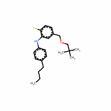 CCCCc1ccc(Nc2cc(COCC(C)(C)C)ccc2F)cc1